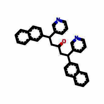 O=C(CC(c1cccnc1)c1ccc2ccccc2c1)CC(c1cccnc1)c1ccc2ccccc2c1